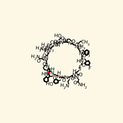 CCCC[C@H]1C(=O)N2CCC[C@@H]2C(=O)N[C@@H](CC(=O)O)C(=O)N[C@@H](C(C)C)C(=O)N(C)[C@@H](CC(C)C)C(=O)N[C@@H](CCC(N)=O)C(=O)N2CCCC[C@@H]2C(=O)N[C@@H](Cc2c[nH]c3ccccc23)C(=O)N[C@@H](Cc2ccc(O)cc2)C(=O)N[C@@H](CCCN)C(=O)N[C@H](C(=O)NCC(N)=O)CSCC(=O)N[C@@H](Cc2ccc(F)cc2)C(=O)N(C)[C@@H](Cc2ccccc2)C(=O)N1C